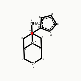 CC(=O)NC1CC2COCC(C1)N2Cc1cccs1